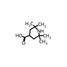 CC1(C)CC(C(=O)O)CC(C)(C)N1